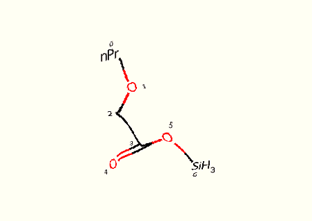 CCCOCC(=O)O[SiH3]